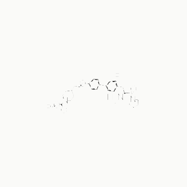 CC(C)OC(=O)N1CCC(CCOc2ccc(-c3ccc(C[C@H](N)C(=O)N4CCCC4)c(F)c3)cc2)CC1